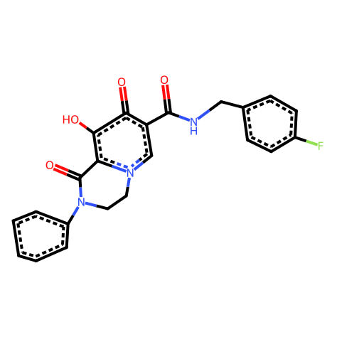 O=C(NCc1ccc(F)cc1)c1cn2c(c(O)c1=O)C(=O)N(c1ccccc1)CC2